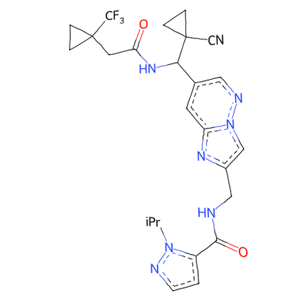 CC(C)n1nccc1C(=O)NCc1cn2ncc(C(NC(=O)CC3(C(F)(F)F)CC3)C3(C#N)CC3)cc2n1